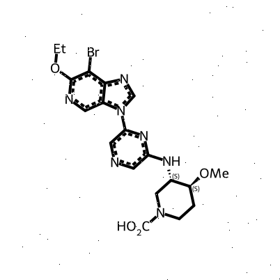 CCOc1ncc2c(ncn2-c2cncc(N[C@H]3CN(C(=O)O)CC[C@@H]3OC)n2)c1Br